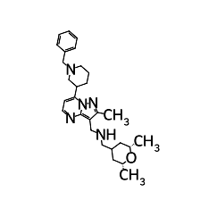 Cc1nn2c(C3CCCN(Cc4ccccc4)C3)ccnc2c1CNCC1C[C@@H](C)O[C@@H](C)C1